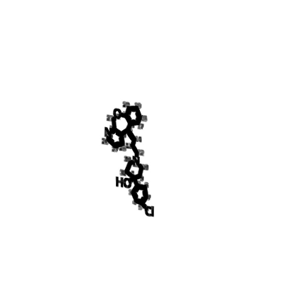 OC1(c2ccc(Cl)cc2)CCN(CC/C=C2/c3ccccc3OCc3ncccc32)CC1